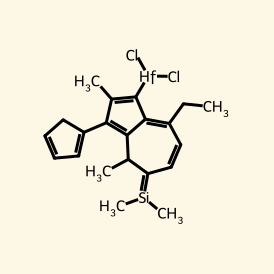 CCC1=C2C(=C(C3=CC=CC3)C(C)=[C]2[Hf]([Cl])[Cl])C(C)C(=[Si](C)C)C=C1